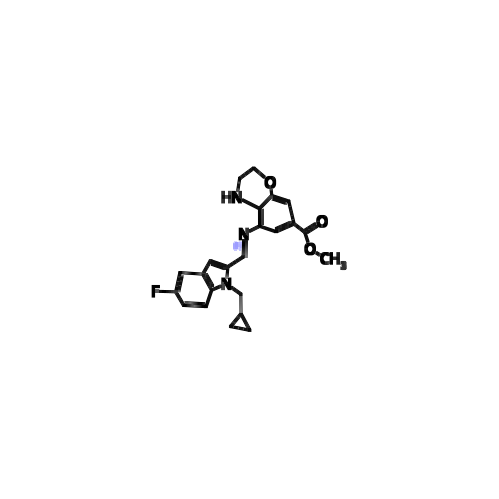 COC(=O)c1cc(/N=C/c2cc3cc(F)ccc3n2CC2CC2)c2c(c1)OCCN2